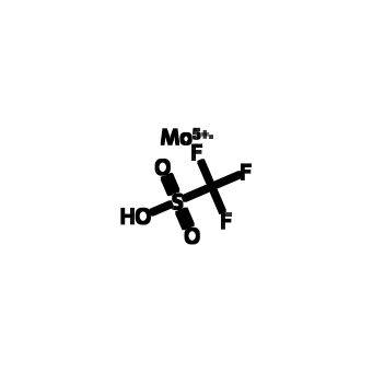 O=S(=O)(O)C(F)(F)F.[Mo+5]